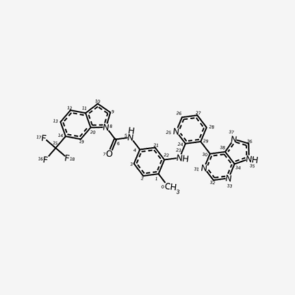 Cc1ccc(NC(=O)n2ccc3ccc(C(F)(F)F)cc32)cc1Nc1ncccc1-c1ncnc2[nH]cnc12